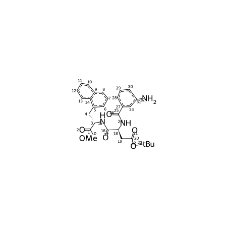 COC(=O)[C@H](Cc1cccc2ccccc12)NC(=O)[C@H](CC(=O)OC(C)(C)C)NC(=O)c1cccc(N)c1